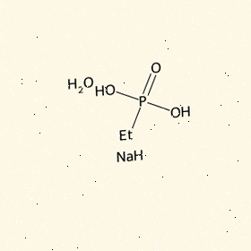 CCP(=O)(O)O.O.[NaH]